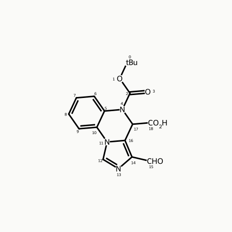 CC(C)(C)OC(=O)N1c2ccccc2-n2cnc(C=O)c2C1C(=O)O